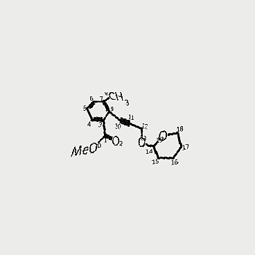 COC(=O)c1cccc(C)c1C#CCOC1CCCCO1